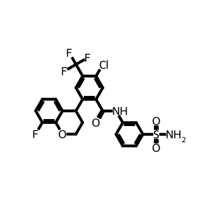 NS(=O)(=O)c1cccc(NC(=O)c2cc(Cl)c(C(F)(F)F)cc2C2CCOc3c(F)cccc32)c1